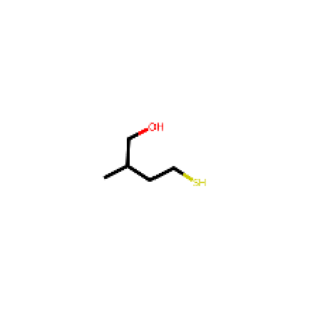 CC(CO)CCS